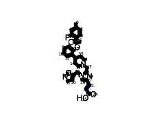 Cc1ccc(C2(C)Oc3cccc(C4CCN(Cc5nc(/C=C/C(=O)O)cn5Cc5ccno5)CC4)c3O2)c(F)c1